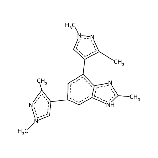 Cc1nc2c(-c3cn(C)nc3C)cc(-c3cn(C)nc3C)cc2[nH]1